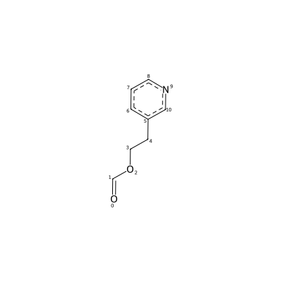 O=COCCc1cccnc1